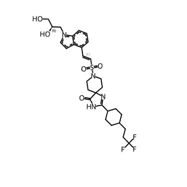 O=C1NC(C2CCC(CCC(F)(F)F)CC2)=NC12CCN(S(=O)(=O)/C=C/c1cccc3c1ccn3C[C@@H](O)CO)CC2